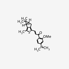 COc1cc(N(C)C)ccc1C(=O)C=Cc1sc(C)c2c1C[C@@H]1[C@H]2C1(C)C